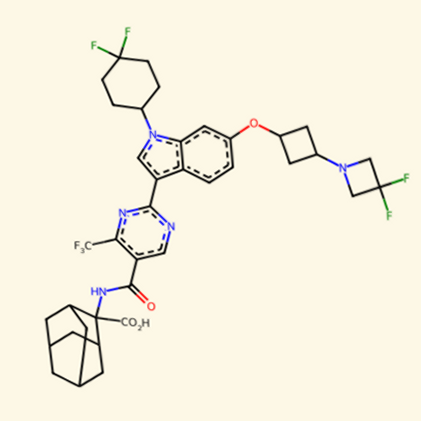 O=C(NC1(C(=O)O)C2CC3CC(C2)CC1C3)c1cnc(-c2cn(C3CCC(F)(F)CC3)c3cc(OC4CC(N5CC(F)(F)C5)C4)ccc23)nc1C(F)(F)F